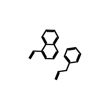 C=CCc1ccccc1.C=Cc1cccc2ccccc12